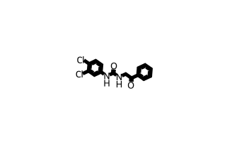 O=C(NCC(=O)c1ccccc1)Nc1ccc(Cl)c(Cl)c1